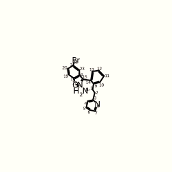 N[C@@H](Cc1ccccn1)c1ccccc1-c1noc2ccc(Br)cc12